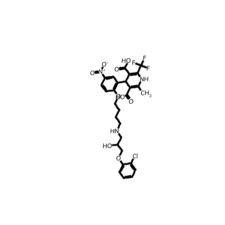 CC1=C(C(=O)O)C(c2cc([N+](=O)[O-])ccc2OCCCCNCC(O)COc2ccccc2Cl)C(C(=O)O)=C(C(F)(F)F)N1